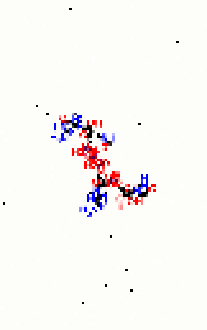 CO[C@@H]1[C@H](OP(=O)(O)OC[C@H]2O[C@@H](n3ccc(=O)[nH]c3=O)[C@H](O)[C@@H]2O)[C@@H](COP(=O)(O)OP(=O)(O)OP(=O)(O)OC[C@H]2O[C@@H](n3c[n+](C)c4c(=O)[nH]c(N)nc43)[C@H](O)[C@@H]2CCNC(C)=O)O[C@H]1n1cnc2c(N)ncnc21